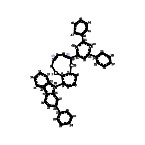 C1=C\COc2c(cccc2-n2c3ccccc3c3ccc(-c4ccccc4)cc32)C\C(c2cc(-c3ccccc3)nc(-c3ccccc3)n2)=C/1